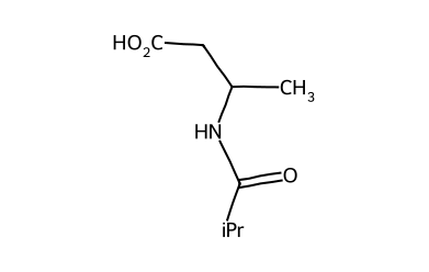 CC(CC(=O)O)NC(=O)C(C)C